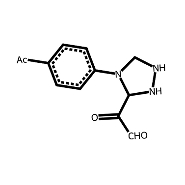 CC(=O)c1ccc(N2CNNC2C(=O)C=O)cc1